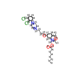 CCCCCCCC(=O)OCN(C(C)=O)c1cc(OCCCCN2CCN(c3cccc(Cl)c3Cl)CC2)ccc1CC